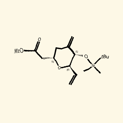 C=C[C@H]1O[C@H](CC(=O)OC)CC(=C)[C@@H]1O[Si](C)(C)C(C)(C)C